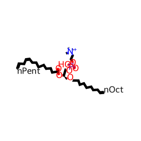 CCCCC/C=C\C/C=C\CCCCCCCC(=O)O[C@H](COCCCCCCCC/C=C\CCCCCCCC)COP(=O)(O)OCC[N+](C)(C)C